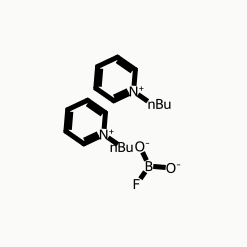 CCCC[n+]1ccccc1.CCCC[n+]1ccccc1.[O-]B([O-])F